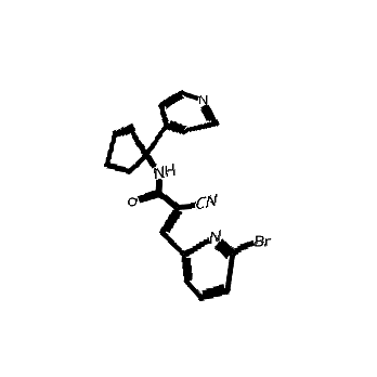 N#C/C(=C\c1cccc(Br)n1)C(=O)NC1(c2ccncc2)CCCC1